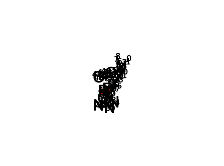 CCCCN(CCCC)c1ccc(/C=C/c2ccc(/C=C/C3=C(C#N)C(=C(C#N)C#N)OC3(C)C(F)(F)F)s2)c(COc2ccc(OC)cc2)c1